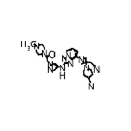 CN1CCN(C(=O)Cn2cc(Nc3nc4c(N5CC(CC#N)(N6CCC(C#N)CC6)C5)cccn4n3)cn2)CC1